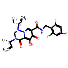 C=C[C@H](C)N1CN([C@@H](C=C)CC(F)(F)F)n2cc(C(=O)NCc3c(F)cc(F)cc3F)c(=O)c(O)c2C1=O